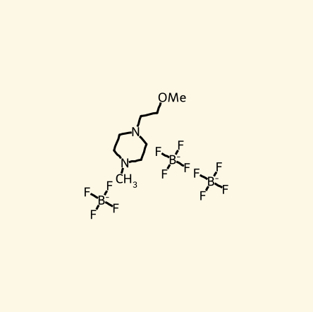 COCCN1CCN(C)CC1.F[B-](F)(F)F.F[B-](F)(F)F.F[B-](F)(F)F